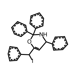 IC(C1=CC(c2ccccc2)NC(c2ccccc2)(c2ccccc2)O1)c1ccccc1